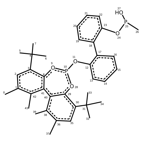 Cc1cc(C(C)(C)C)c2op(Oc3ccccc3-c3ccccc3OP(C)O)oc3c(C(C)(C)C)cc(C)c(C)c3c2c1C